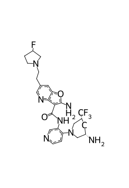 Nc1oc2cc(CCN3CCC(F)C3)cnc2c1C(=O)Nc1cnccc1N1C[C@@H](N)C[C@@H](C(F)(F)F)C1